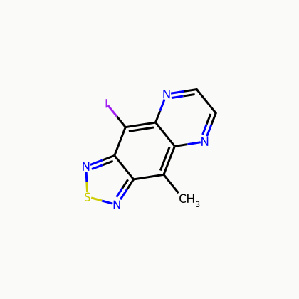 Cc1c2nccnc2c(I)c2nsnc12